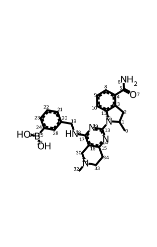 CC1Cc2c(C(N)=O)cccc2N1c1nc2c(c(NCc3cccc(B(O)O)c3)n1)CN(C)CC2